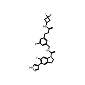 C=C(CCc1cc(F)cc(CNC(=C)N2CCc3cc(-c4cn[nH]c4)c(F)cc32)c1)NC1CC(F)(F)C1